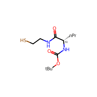 CCC[C@H](NC(=O)OC(C)(C)C)C(=O)NCCS